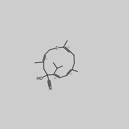 C/C1=C/C=C(\C(C)C)C(O)(C#N)C/C(C)=C\CC/C(C)=C\CC1